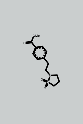 COC(=O)c1ccc(CCN2CCCS2(=O)=O)cc1